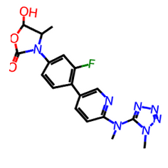 CC1C(O)OC(=O)N1c1ccc(-c2ccc(N(C)c3nnnn3C)nc2)c(F)c1